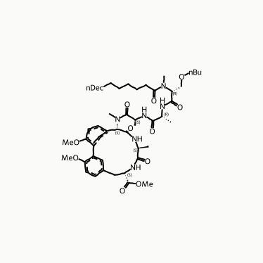 CCCCCCCCCCCCCCCC(=O)N(C)[C@H](COCCCC)C(=O)N[C@H](C)C(=O)N[C@@H](C)C(=O)N(C)[C@@H]1C(=O)N[C@@H](C)C(=O)N[C@H](C(=O)OC)Cc2ccc(OC)c(c2)-c2cc1ccc2OC